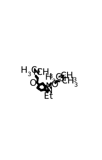 CCc1nn(COCC[Si](C)(C)C)c2cc(C(=O)/C=C/N(C)C)ccc12